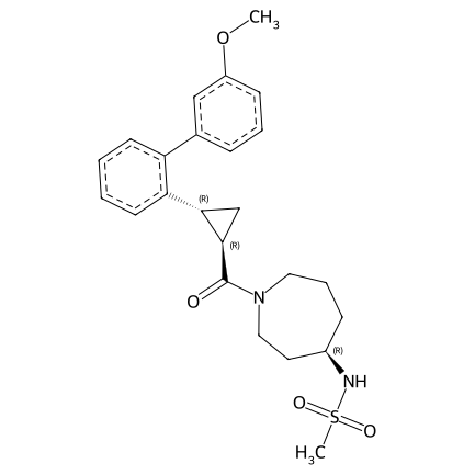 COc1cccc(-c2ccccc2[C@@H]2C[C@H]2C(=O)N2CCC[C@@H](NS(C)(=O)=O)CC2)c1